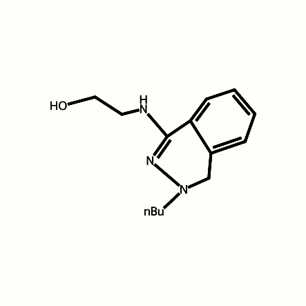 CCCCN1Cc2ccccc2C(NCCO)=N1